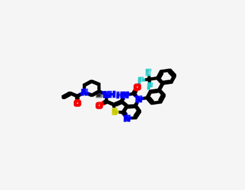 C=CC(=O)N1CCC[C@@H](NC(=O)c2sc3nccc4c3c2NC(=O)N4c2cccc(-c3ccccc3C(F)(F)F)c2)C1